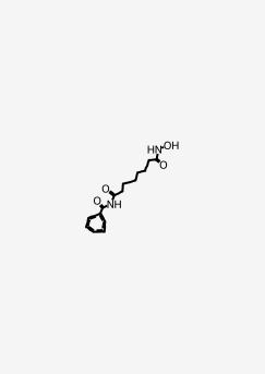 O=C(CCCCCCC(=O)NC(=O)c1ccccc1)NO